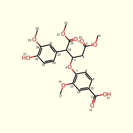 COC(=O)CC(Oc1ccc(C(=O)O)cc1OC)C(C(=O)OC)c1ccc(O)c(OC)c1